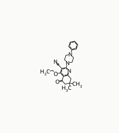 CCOc1c(C#N)c(N2CCN(c3ccccc3)CC2)nc2c1C(=O)CC(C)(C)C2